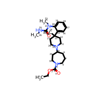 CCOC(=O)N1CCCC(N2CCC(C)(c3ccccc3N(C)C(=O)NC)CC2)CC1